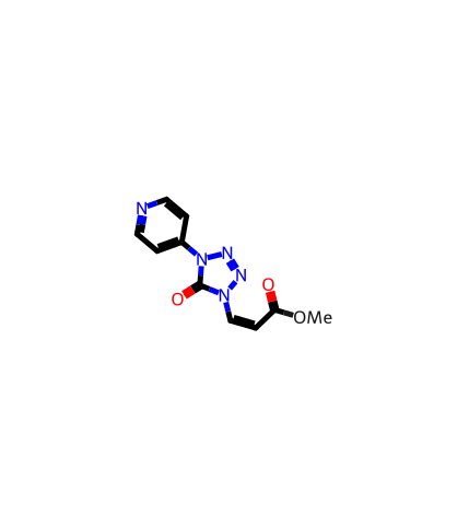 COC(=O)/C=C\n1nnn(-c2ccncc2)c1=O